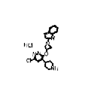 Cl.Clc1cc(C2CCNCC2)c(OC2CN(c3ccc4ccccc4n3)C2)nn1